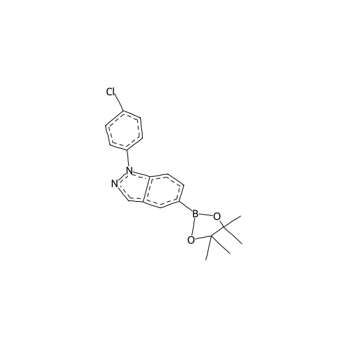 CC1(C)OB(c2ccc3c(cnn3-c3ccc(Cl)cc3)c2)OC1(C)C